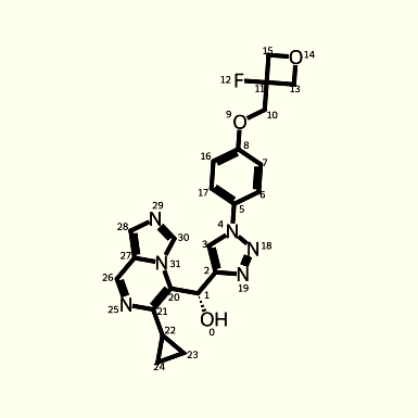 O[C@@H](c1cn(-c2ccc(OCC3(F)COC3)cc2)nn1)c1c(C2CC2)ncc2cncn12